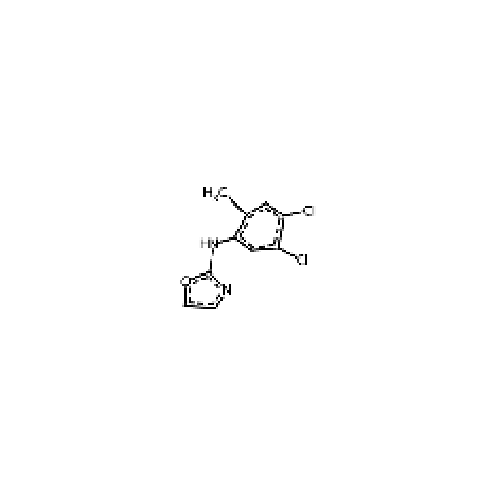 Cc1cc(Cl)c(Cl)cc1Nc1ncco1